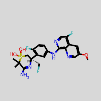 COc1cnc2c(Nc3ccc(F)c([C@]4(CF)CS(O)(O)C(C)(C)C(N)=N4)c3)ncc(F)c2c1